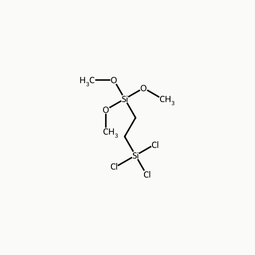 CO[Si](CC[Si](Cl)(Cl)Cl)(OC)OC